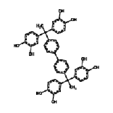 CC(c1ccc(-c2ccc(C(C)(c3ccc(O)c(O)c3)c3ccc(O)c(O)c3)cc2)cc1)(c1ccc(O)c(O)c1)c1ccc(O)c(O)c1